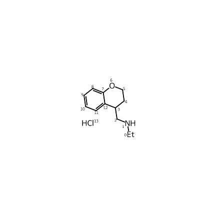 CCNCC1CCOc2ccccc21.Cl